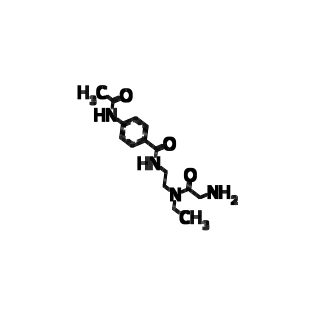 CCN(CCNC(=O)c1ccc(NC(C)=O)cc1)C(=O)CN